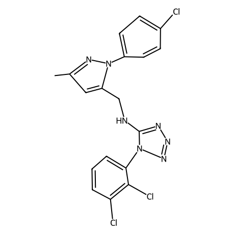 Cc1cc(CNc2nnnn2-c2cccc(Cl)c2Cl)n(-c2ccc(Cl)cc2)n1